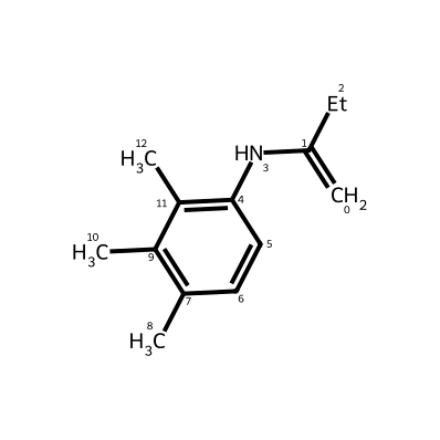 C=C(CC)Nc1ccc(C)c(C)c1C